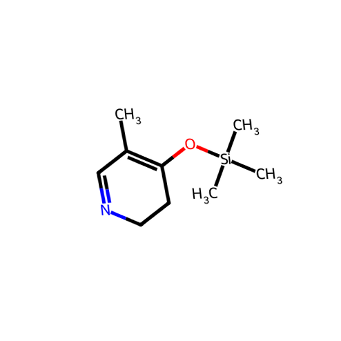 CC1=C(O[Si](C)(C)C)CCN=C1